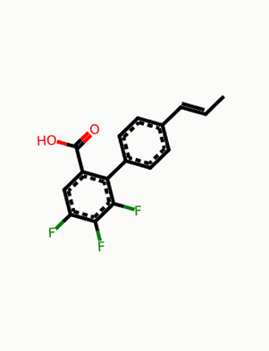 C/C=C/c1ccc(-c2c(C(=O)O)cc(F)c(F)c2F)cc1